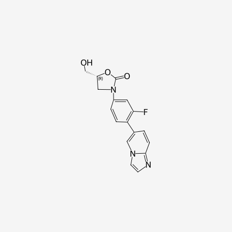 O=C1O[C@@H](CO)CN1c1ccc(-c2ccc3nccn3c2)c(F)c1